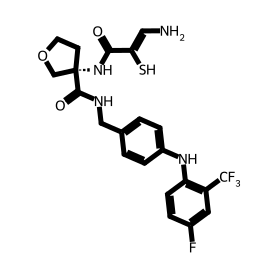 N/C=C(\S)C(=O)N[C@@]1(C(=O)NCc2ccc(Nc3ccc(F)cc3C(F)(F)F)cc2)CCOC1